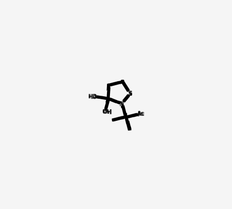 CC(=O)C(C)(C)N1SCCC1(O)O